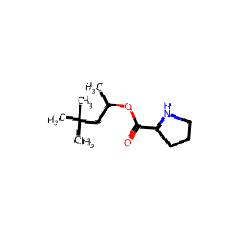 CC(CC(C)(C)C)OC(=O)C1CCCN1